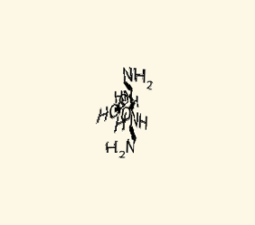 NCCNCCNCCN.O=[PH](O)O